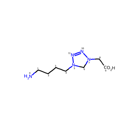 NCCCCN1CN(CC(=O)O)N=N1